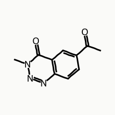 CC(=O)c1ccc2nnn(C)c(=O)c2c1